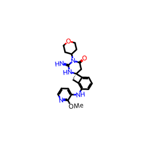 COc1ncccc1Nc1cccc2c1C[C@]21CC(=O)N(C2CCOCC2)C(=N)N1